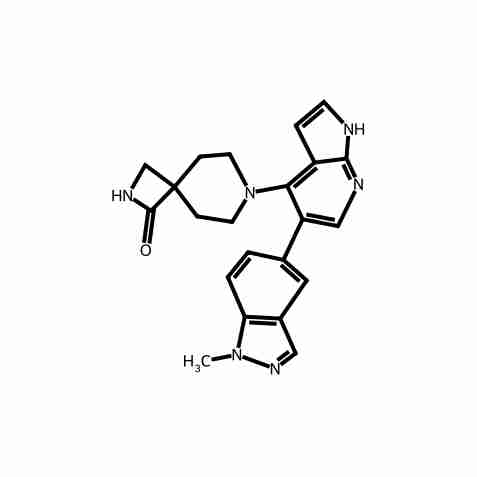 Cn1ncc2cc(-c3cnc4[nH]ccc4c3N3CCC4(CC3)CNC4=O)ccc21